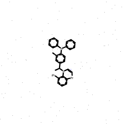 C/C=C\N(c1c(C(C)C)cccc1C(C)C)C(C)c1ccc(N(c2ccccc2)c2ccccc2)c(C)c1